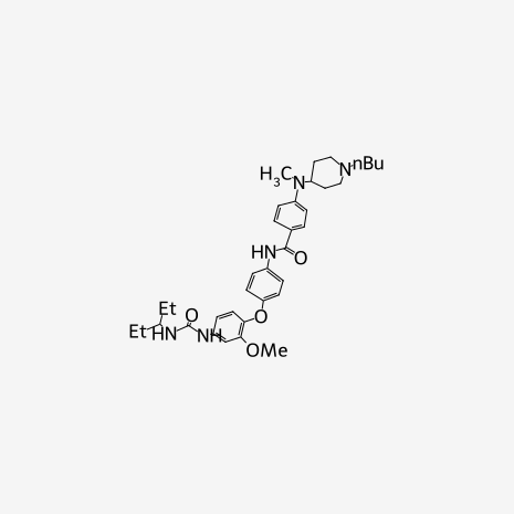 CCCCN1CCC(N(C)c2ccc(C(=O)Nc3ccc(Oc4ccc(NC(=O)NC(CC)CC)cc4OC)cc3)cc2)CC1